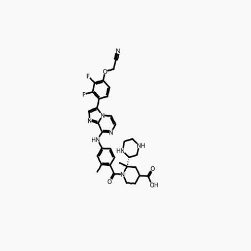 Cc1cc(Nc2nccn3c(-c4ccc(OCC#N)c(F)c4F)cnc23)ccc1C(=O)N1CCC(C(=O)O)CC1(C)[C@H]1CNCCN1